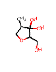 CC1COC(CO)C1(O)O